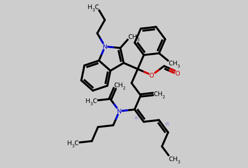 C=C(CC(OC=O)(c1ccccc1C)c1c(C)n(CCC)c2ccccc12)/C(=C\C=C/CC)N(CCCC)C(=C)C